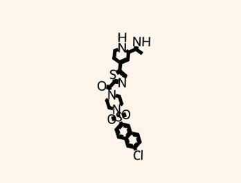 CC(=N)C1C=C(c2cnc(C(=O)N3CCN(S(=O)(=O)c4ccc5cc(Cl)ccc5c4)CC3)s2)CCN1